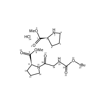 COC(=O)[C@@H]1CCCN1.COC(=O)[C@@H]1CCCN1C(=O)CNC(=O)OC(C)(C)C.Cl